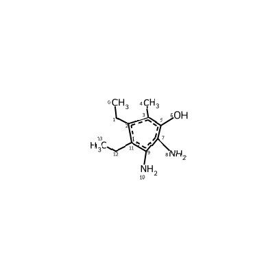 CCc1c(C)c(O)c(N)c(N)c1CC